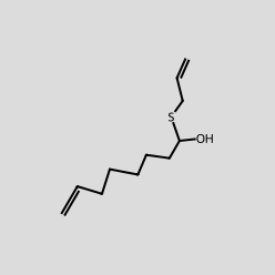 C=CCCCCCC(O)SCC=C